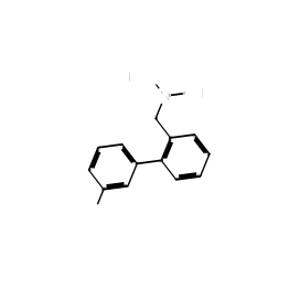 CN(C)Cc1[c]cccc1-c1cccc(O)c1